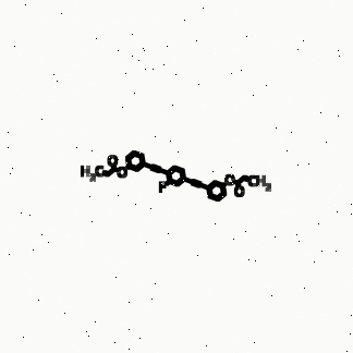 C=CC(=O)Oc1cccc(C#Cc2ccc(C#Cc3cccc(OC(=O)C=C)c3)c(F)c2)c1